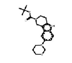 CC(C)(C)OC(=O)N1CCc2[nH]c3ccc(N4CCCSC4)cc3c2C1